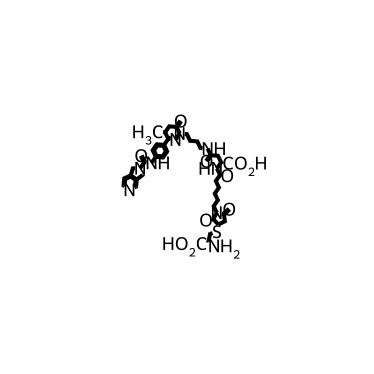 CC1CC(=O)N(CCCCNC(=O)C[C@H](NC(=O)CCCCCN2C(=O)CC(SC[C@H](N)C(=O)O)C2=O)C(=O)O)N=C1c1ccc(NC(=O)N2Cc3ccncc3C2)cc1